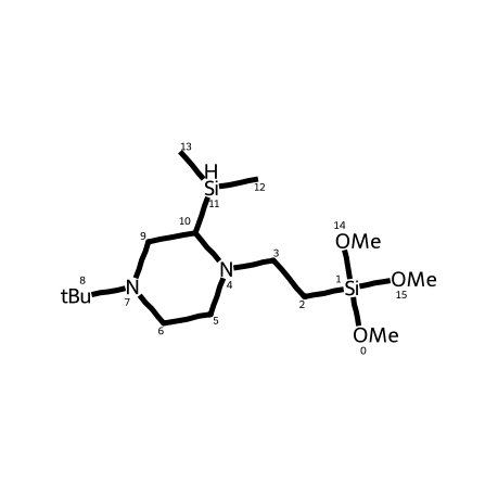 CO[Si](CCN1CCN(C(C)(C)C)CC1[SiH](C)C)(OC)OC